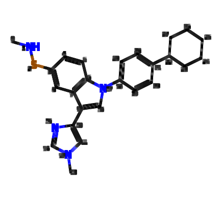 CNSc1ccc2c(c1)c(-c1cn(C)cn1)cn2-c1ccc(C2CCCCC2)cc1